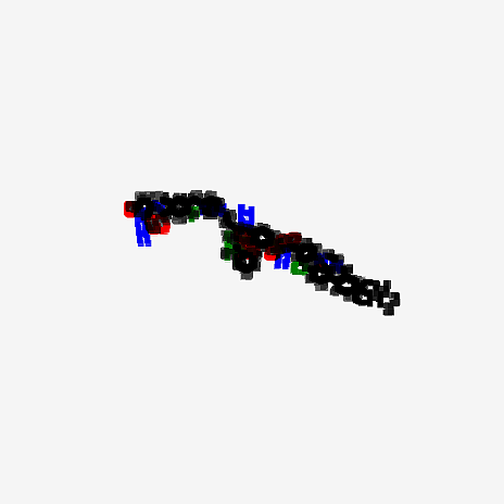 CC1(C)CCC(c2ccc(Cl)cc2)=C(CN2CCN(c3ccc(C(=O)NS(=O)(=O)c4ccc(N[C@H](CCN5CC6CCC5CN6Cc5cc6c(cc5F)C(=O)N(C5CCC(=O)NC5=O)C6)CSc5ccccc5)c(S(=O)(=O)C(F)(F)F)c4)cc3)CC2)C1